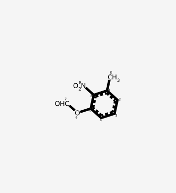 Cc1cccc(OC=O)c1[N+](=O)[O-]